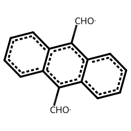 O=[C]c1c2ccccc2c([C]=O)c2ccccc12